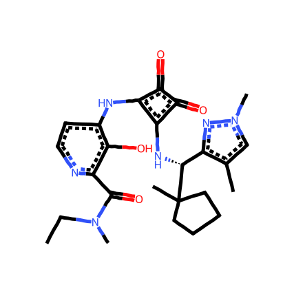 CCN(C)C(=O)c1nccc(Nc2c(N[C@H](c3nn(C)cc3C)C3(C)CCCC3)c(=O)c2=O)c1O